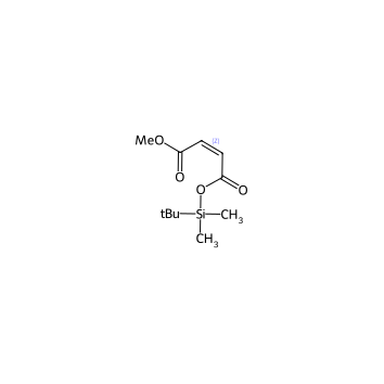 COC(=O)/C=C\C(=O)O[Si](C)(C)C(C)(C)C